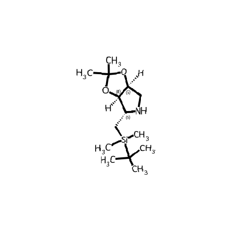 CC1(C)O[C@H]2[C@H](CN[C@@H]2C[Si](C)(C)C(C)(C)C)O1